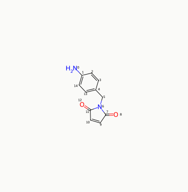 Nc1ccc(CN2C(=O)C=CC2=O)cc1